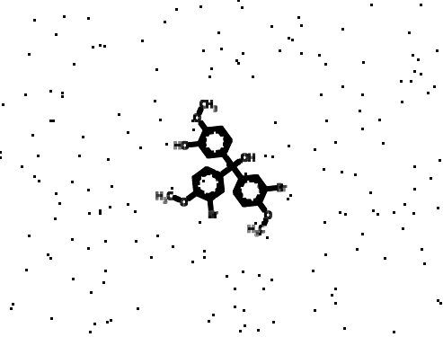 COc1ccc(C(O)(c2ccc(OC)c(Br)c2)c2ccc(OC)c(Br)c2)cc1O